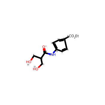 CCOC(=O)c1ccc(NC(=O)C(CO)CO)cc1